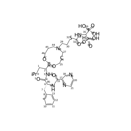 CC(C)CC(NC(=O)[C@@H](Cc1ccccc1)NC(=O)c1cnccn1)B1OCCCN(CCSC(=O)NC(P(=O)(O)O)P(=O)(O)O)CCCO1